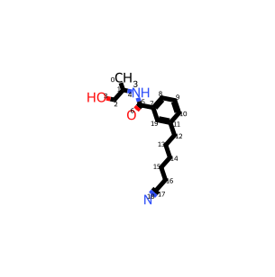 CC(CO)NC(=O)c1cccc(CCCCCC#N)c1